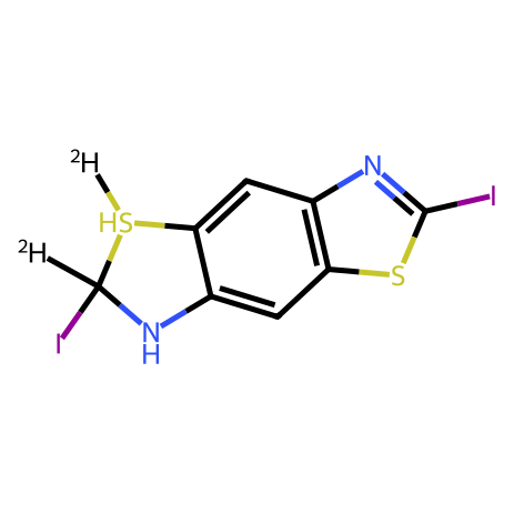 [2H][SH]1c2cc3nc(I)sc3cc2NC1([2H])I